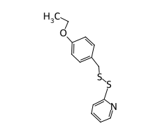 CCOc1ccc(CSSc2ccccn2)cc1